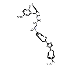 COc1ccc(C(C)C)c(N2C(=O)CS/C2=N\C(=O)N/C=C(\C#N)c2ccc(-c3ncn(-c4ccc(OC(F)(F)F)cc4)n3)cc2)c1